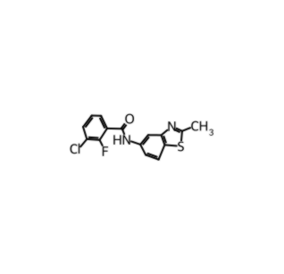 Cc1nc2cc(NC(=O)c3cccc(Cl)c3F)ccc2s1